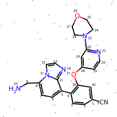 N#Cc1ccc(-c2ccc(CN)n3ccnc23)c(Oc2ccnc(N3CCOCC3)c2)c1